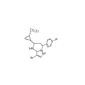 CCOC(=O)C1CC1C1CC(c2ccc(Br)cc2)N2NC=C(Br)C2N1